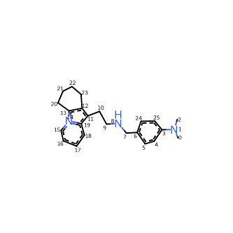 CN(C)c1ccc(CNCCc2c3c(n4ccccc24)CCCC3)cc1